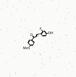 CSc1ccc(C(=O)/C=C/c2ccc(O)cc2F)cc1